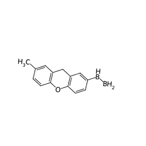 BBc1ccc2c(c1)Cc1cc(C)ccc1O2